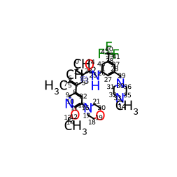 C=C/C(=C\C(=C(C)C)c1cnc(OCC)c(N2CCOCC2)c1)C(=O)Nc1cc(CN2CCN(C)CC2)cc(C(F)(F)F)c1